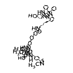 Cc1ncsc1-c1ccc(CNC(=O)[C@@H]2C[C@@H](O)CN2C(=O)[C@@H](NC(=O)COCCOCCOCC(=O)NCCCCC#Cc2cccc(Cn3c(-c4ccccc4)c(-c4ccccc4)c4c(=N)n(C5CCC(O)CC5)cnc43)c2)C(C)(C)C)cc1